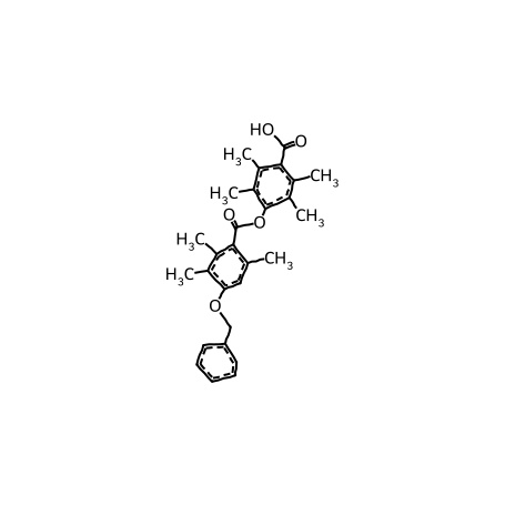 Cc1cc(OCc2ccccc2)c(C)c(C)c1C(=O)Oc1c(C)c(C)c(C(=O)O)c(C)c1C